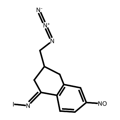 [N-]=[N+]=NCC1CC(=NI)c2ccc(N=O)cc2C1